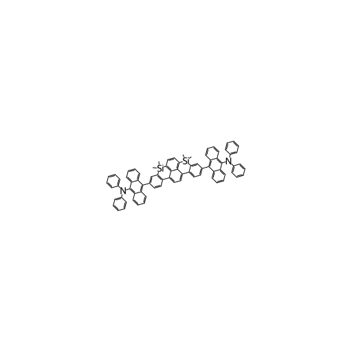 C[Si]1(C)c2cc(-c3c4ccccc4c(N(c4ccccc4)c4ccccc4)c4ccccc34)ccc2-c2ccc3c4c(ccc1c24)[Si](C)(C)c1cc(-c2c4ccccc4c(N(c4ccccc4)c4ccccc4)c4ccccc24)ccc1-3